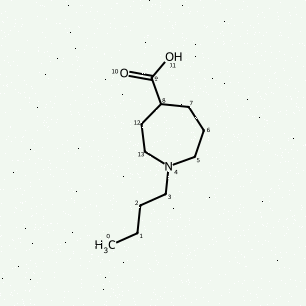 CCCCN1CCCC(C(=O)O)CC1